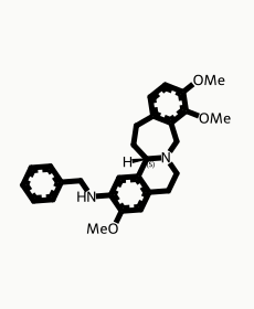 COc1cc2c(cc1NCc1ccccc1)[C@@H]1CCc3ccc(OC)c(OC)c3CN1CC2